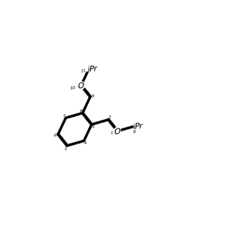 CC(C)OCC1CCCCC1COC(C)C